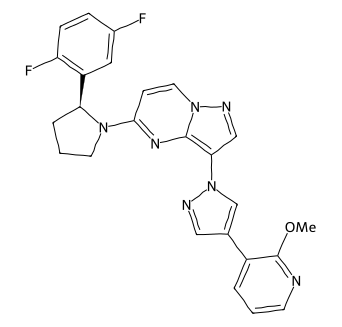 COc1ncccc1-c1cnn(-c2cnn3ccc(N4CCC[C@H]4c4cc(F)ccc4F)nc23)c1